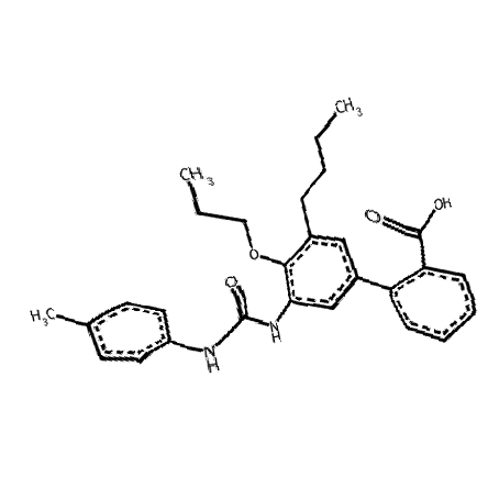 CCCCc1cc(-c2ccccc2C(=O)O)cc(NC(=O)Nc2ccc(C)cc2)c1OCCC